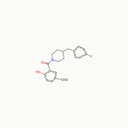 O=Cc1ccc(O)c(C(=O)N2CCC(Cc3ccc(F)cc3)CC2)c1